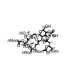 CCCCCCCCCCC[C@H](CC(=O)NC1C(OC[C@@H](NC(=O)C[C@@H](CCCCCCCCCC)OC(=O)CCCCCCCCC)C(=O)O)OC(CO)C(OP(=O)(O)O)C1OC(=O)C[C@@H](CCCCCCCCCCC)OC(=O)CCCCCCCCC)OC(=O)CCCCCCCCC